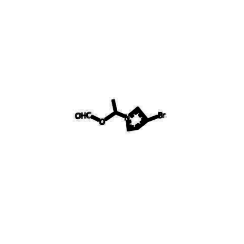 CC(OC=O)n1ccc(Br)c1